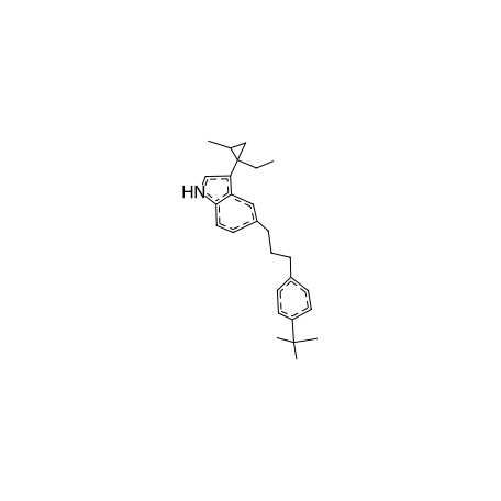 CCC1(c2c[nH]c3ccc(CCCc4ccc(C(C)(C)C)cc4)cc23)CC1C